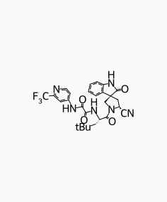 CC(C)(C)C[C@H](NC(=O)C(=O)Nc1ccnc(C(F)(F)F)c1)C(=O)N1C[C@]2(C[C@H]1C#N)C(=O)Nc1ccccc12